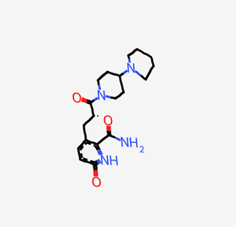 NC(=O)c1[nH]c(=O)ccc1C[CH]C(=O)N1CCC(N2CCCCC2)CC1